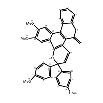 C=C1Cc2ccccc2-c2c1c1c(c3cc(OC)c(OC)cc23)OC(c2ccc(OC)cc2)(c2ccc(OC)cc2)C=C1